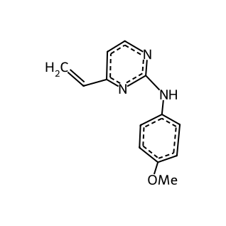 C=Cc1ccnc(Nc2ccc(OC)cc2)n1